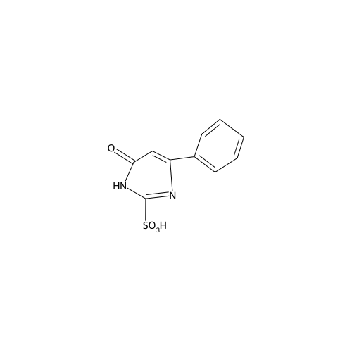 O=c1cc(-c2ccccc2)nc(S(=O)(=O)O)[nH]1